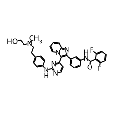 CN(CCO)CCc1ccc(Nc2nccc(-c3c(-c4cccc(NC(=O)c5c(F)cccc5F)c4)nc4ccccn34)n2)cc1